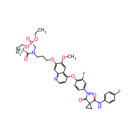 CCOP(=O)(CN(CCCOc1cc2nccc(Oc3ccc(NC(=O)C4(C(=O)Nc5ccc(F)cc5)CC4)cc3F)c2cc1OC)C(C)=O)OCC